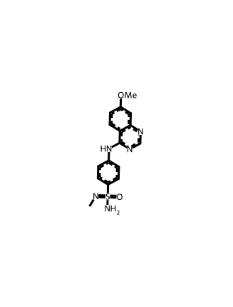 CN=S(N)(=O)c1ccc(Nc2ncnc3cc(OC)ccc23)cc1